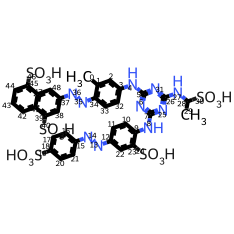 Cc1cc(Nc2nc(Nc3ccc(N=Nc4ccc(S(=O)(=O)O)cc4)cc3S(=O)(=O)O)nc(NC(C)S(=O)(=O)O)n2)ccc1N=Nc1cc(S(=O)(=O)O)c2cccc(S(=O)(=O)O)c2c1